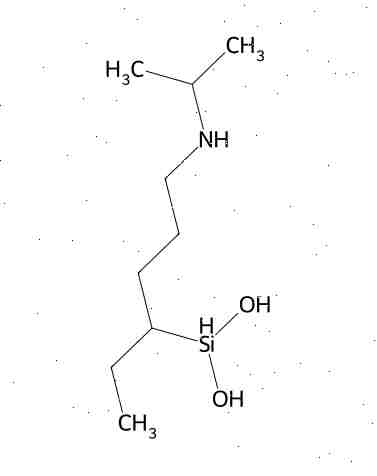 CCC(CCCNC(C)C)[SiH](O)O